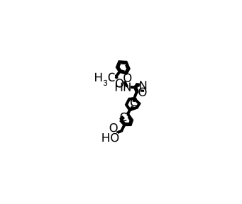 CC(OC(=O)Nc1cnoc1C12CCC(c3ccc(CC(=O)O)cc3)(CC1)CC2)c1ccccc1